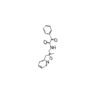 CP(=O)(CNC(=O)C(=O)c1ccccc1)Cc1ccccn1